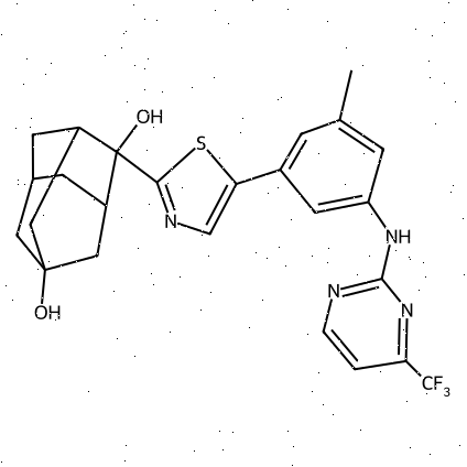 Cc1cc(Nc2nccc(C(F)(F)F)n2)cc(-c2cnc(C3(O)C4CC5CC3CC(O)(C5)C4)s2)c1